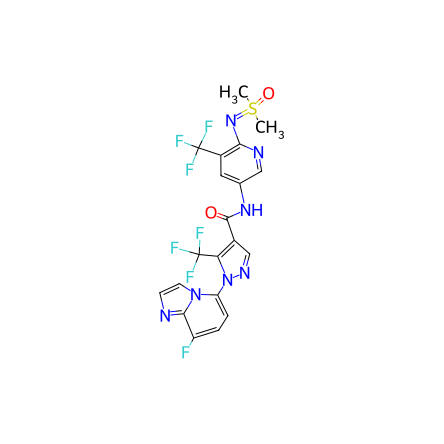 CS(C)(=O)=Nc1ncc(NC(=O)c2cnn(-c3ccc(F)c4nccn34)c2C(F)(F)F)cc1C(F)(F)F